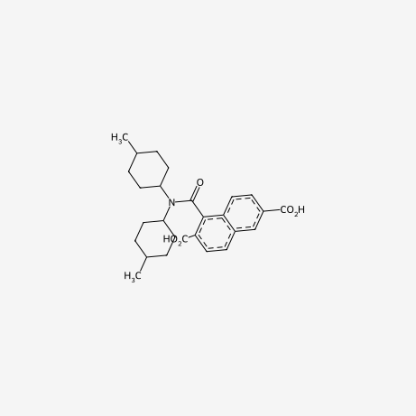 CC1CCC(N(C(=O)c2c(C(=O)O)ccc3cc(C(=O)O)ccc23)C2CCC(C)CC2)CC1